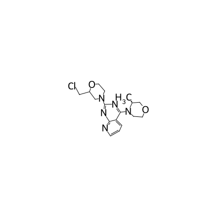 C[C@H]1COCCN1c1nc(N2CCOC(CCl)C2)nc2ncccc12